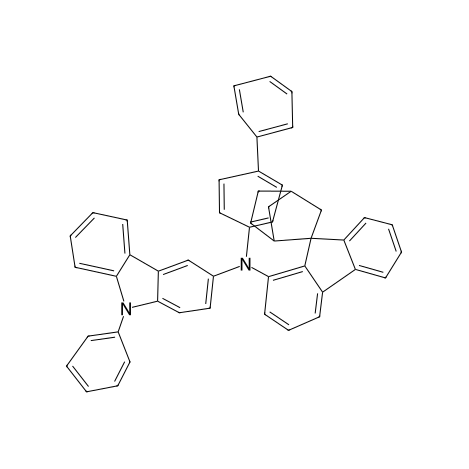 c1ccc(-c2ccc(N(c3ccc4c(c3)c3ccccc3n4-c3ccccc3)c3cccc4c3C3(CC5CCC3C5)c3ccccc3-4)cc2)cc1